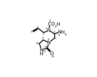 C=CCN(C(=O)O)C(N)CN1CCNC1=O